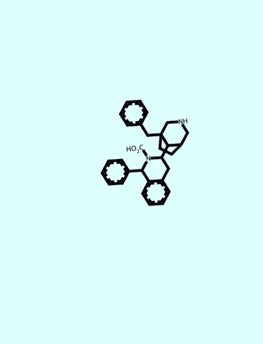 O=C(O)N1C(c2ccccc2)c2ccccc2CC1C1C2CCC1(Cc1ccccc1)CNC2